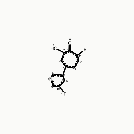 O=c1c(O)cc(-c2cncc(F)c2)ccc1I